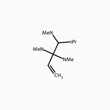 C=CC(NC)(NC)C(CCC)NC